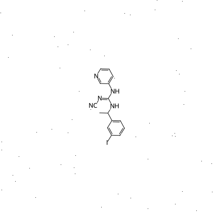 CC(NC(=NC#N)Nc1cccnc1)c1cccc(I)c1